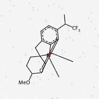 COC1CCC2(CC1)Cc1ccc(C(C)C(F)(F)F)cc1C21N=C(C)N(C)C1=O